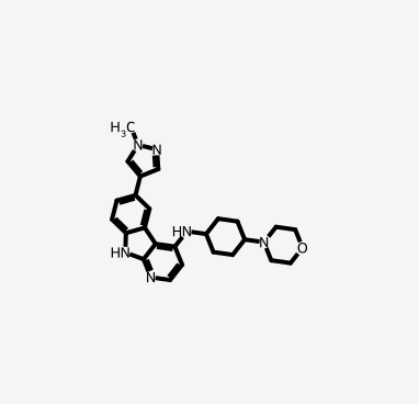 Cn1cc(-c2ccc3[nH]c4nccc(NC5CCC(N6CCOCC6)CC5)c4c3c2)cn1